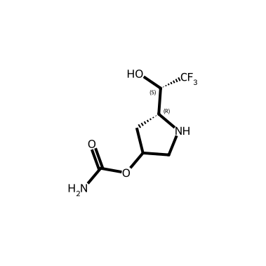 NC(=O)OC1CN[C@@H]([C@H](O)C(F)(F)F)C1